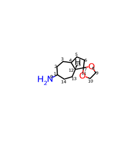 NC1CCC2CCC3(OCCO3)[C@@H]2CC1